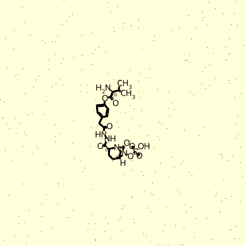 CC(C)[C@H](N)C(=O)Oc1ccc(CC(=O)NNC(=O)[C@@H]2CC[C@@H]3CN2C(=O)N3OS(=O)(=O)O)cc1